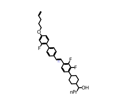 C=CCCCOc1ccc(-c2ccc(/C=C/c3ccc(C4CCC(C(O)CCC)CC4)c(F)c3F)cc2)c(F)c1